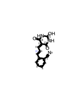 N#Cc1ccccc1/C=C/C=C1C(=O)NC(O)NC1=O